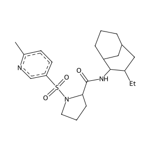 CCC1CC2CCCC(C2)C1NC(=O)C1CCCN1S(=O)(=O)c1ccc(C)nc1